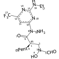 CCCCC[C@H](CN(O)C=O)C(=O)N(N)c1cc(C(F)(F)F)nc(NCC)n1